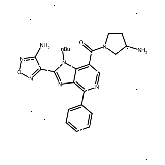 CCCCn1c(-c2nonc2N)nc2c(-c3ccccc3)ncc(C(=O)N3CCC(N)C3)c21